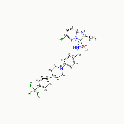 Cc1nc2ccc(F)cn2c1C(=O)NCc1ccc(N2CCC(c3ccc(C(F)(F)F)cc3)CC2)cc1